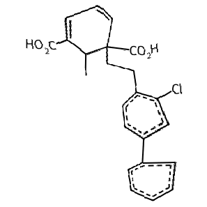 CC1C(C(=O)O)=CC=CC1(CCc1ccc(-c2ccccc2)cc1Cl)C(=O)O